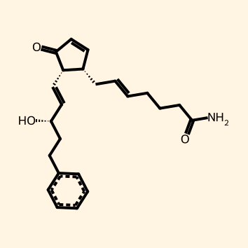 NC(=O)CCCC=CC[C@H]1C=CC(=O)[C@H]1C=C[C@@H](O)CCc1ccccc1